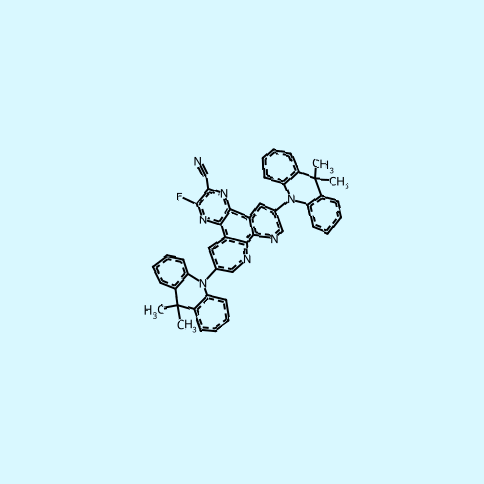 CC1(C)c2ccccc2N(c2cnc3c(c2)c2nc(F)c(C#N)nc2c2cc(N4c5ccccc5C(C)(C)c5ccccc54)cnc23)c2ccccc21